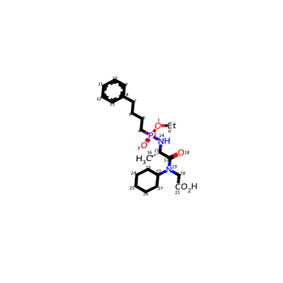 CCOP(=O)(CCCCc1ccccc1)N[C@@H](C)C(=O)N(CC(=O)O)C1CCCCC1